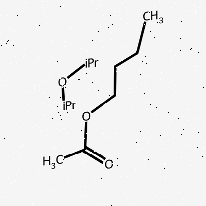 CC(C)OC(C)C.CCCCOC(C)=O